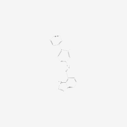 C(=N\c1ccc(-c2ccccc2)cc1)/c1cccc2cc[nH]c12